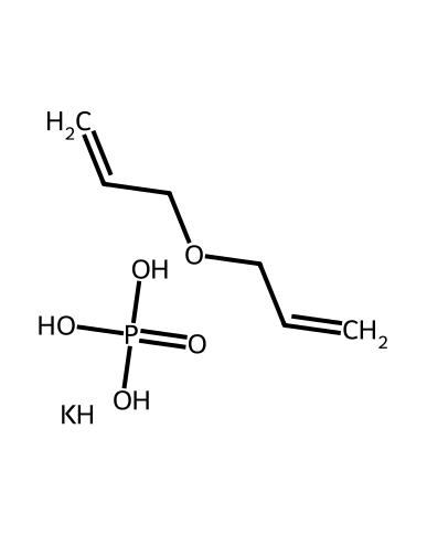 C=CCOCC=C.O=P(O)(O)O.[KH]